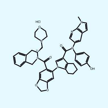 Cl.Cn1ccc2cc(N(C(=O)c3cn(-c4cc5c(cc4C(=O)N4Cc6ccccc6C[C@H]4CN4CCOCC4)OCO5)c4c3CCCC4)c3ccc(O)cc3)cnc21